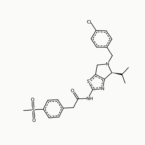 CC(C)[C@H]1c2nc(NC(=O)Cc3ccc(S(C)(=O)=O)cc3)sc2CN1Cc1ccc(Cl)cc1